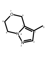 Cc1cnn2c1COCC2